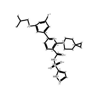 CC(C)COc1cc(F)cc(-c2ccc(C(=O)NS(=O)(=O)c3ccn[nH]3)c(N3CCC4(CC3)CC4)n2)c1